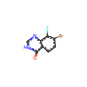 O=c1[nH]cnc2c(F)c(Br)ccc12